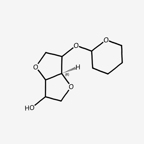 OC1CO[C@@H]2C(OC3CCCCO3)COC12